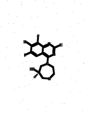 C[C@@]1(O)COCCN(c2nc(Cl)nc3c(F)c(Br)c(I)cc23)C1